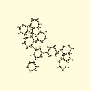 c1ccc(-c2nc(-c3ccc(-c4cccc5sc6ccccc6c45)cc3)nc(-c3ccc4c(c3)C3(c5ccccc5-c5ccccc53)c3ccccc3-4)n2)cc1